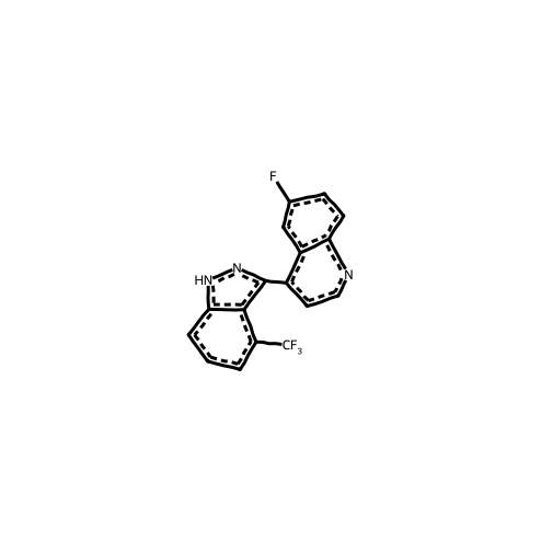 Fc1ccc2nccc(-c3n[nH]c4cccc(C(F)(F)F)c34)c2c1